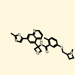 Cc1ncc(-c2cc(C3(NC(=O)c4cc(OCC5CCN5C)ccc4C)COC3)c3cccnc3c2)o1